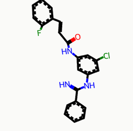 N=C(Nc1cc(Cl)cc(NC(=O)/C=C/c2ccccc2F)c1)c1ccccc1